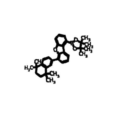 CC1(C)CCC(C)(C)c2cc(-c3cccc4c3oc3cccc(B5OC(C)(C)C(C)(C)O5)c34)ccc21